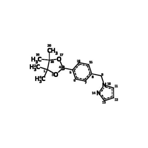 CC1(C)OB(c2ccc(Cn3cccn3)cc2)OC1(C)C